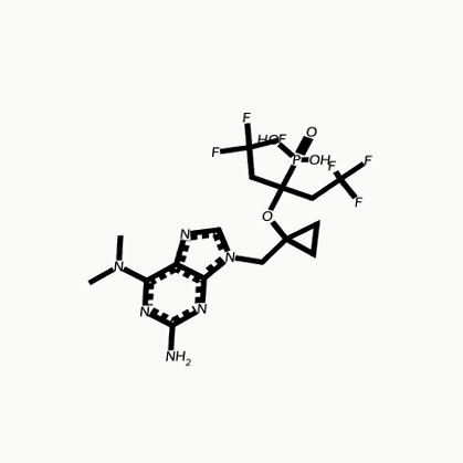 CN(C)c1nc(N)nc2c1ncn2CC1(OC(CC(F)(F)F)(CC(F)(F)F)P(=O)(O)O)CC1